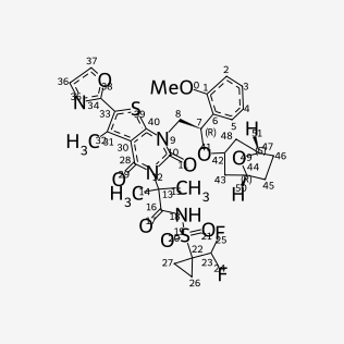 COc1ccccc1[C@H](Cn1c(=O)n(C(C)(C)C(=O)NS(=O)(=O)C2(C(F)F)CC2)c(=O)c2c(C)c(-c3ncco3)sc21)OC1C[C@H]2CC[C@@H](C1)O2